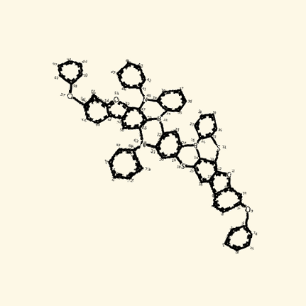 c1ccc(Oc2ccc3c(c2)oc2c4c5c(cc23)Sc2cc3c(cc2B5c2ccccc2S4)B2c4ccccc4N(c4ccccc4)c4c2c(cc2c4oc4cc(Oc5ccccc5)ccc42)N3c2ccccc2)cc1